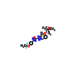 COC(C)(C)CCOc1cccc(Cn2nc(-c3nc(-c4ccc(OC(C)(F)F)cc4)no3)nc2C)c1